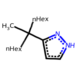 CCCCCCC(C)(CCCCCC)c1cc[nH]n1